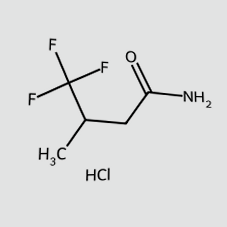 CC(CC(N)=O)C(F)(F)F.Cl